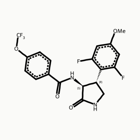 COc1cc(F)c([C@@H]2CNC(=O)[C@H]2NC(=O)c2ccc(OC(F)(F)F)cc2)c(F)c1